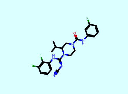 CC(C)C1CN(C(=O)Nc2cccc(F)c2)CCN1/C(=N/C#N)Nc1cccc(Cl)c1Cl